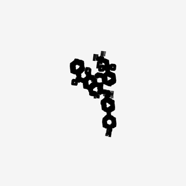 O=C(c1ccccc1)c1cc2cnc(Nc3ccc(C4CCNCC4)cc3)nc2n(Cc2ccccc2S(=O)(=O)CC(F)(F)F)c1=O